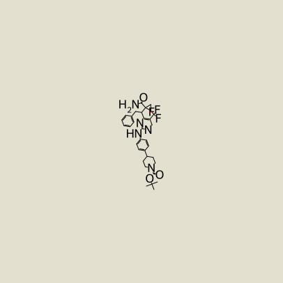 CC(C)(C)OC(=O)N1CCC(c2ccc(Nc3ncc(C(F)(F)F)c(C(Cc4ccccc4)C4(C(N)=O)CC4)n3)cc2)CC1